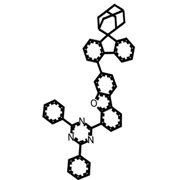 c1ccc(-c2nc(-c3ccccc3)nc(-c3cccc4c3oc3cc(-c5cccc6c5-c5ccccc5C65C6CC7CC(C6)CC5C7)ccc34)n2)cc1